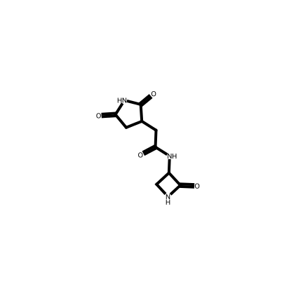 O=C1CC(CC(=O)NC2CNC2=O)C(=O)N1